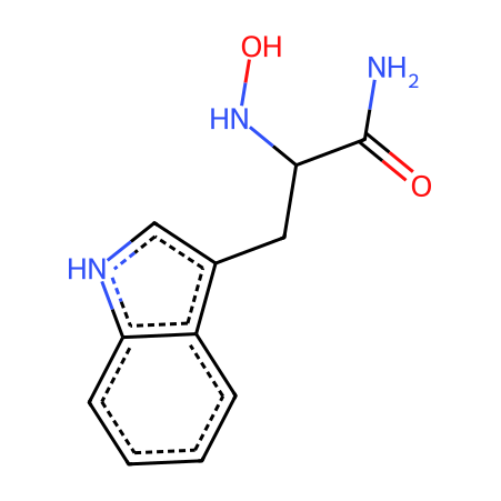 NC(=O)C(Cc1c[nH]c2ccccc12)NO